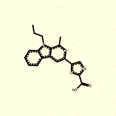 CCCn1c2ccccc2c2cc(-c3cnc(C(=O)O)o3)nc(C)c21